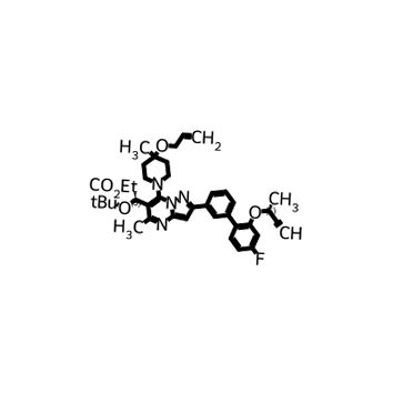 C#C[C@H](C)Oc1cc(F)ccc1-c1cccc(-c2cc3nc(C)c([C@H](OC(C)(C)C)C(=O)OCC)c(N4CCC(C)(OCC=C)CC4)n3n2)c1